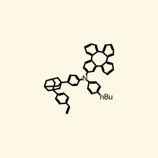 C=Cc1ccc(C23CC4CC(C2)CC(c2ccc(N(c5ccc(CCCC)cc5)c5ccc6c(c5)-c5ccccc5-c5ccccc5-c5ccccc5-6)cc2)(C4)C3)cc1